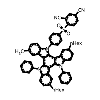 CCCCCCc1ccc2c(c1)c1c(c3c4cc(C)ccc4n(-c4ccc(S(=O)(=O)c5ccc(C#N)cc5C#N)cc4)c3c3c4cc(CCCCCC)ccc4n(-c4ccccc4)c31)n2-c1ccccc1